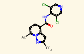 CC(=O)c1ccc(C(=O)Nc2c(Cl)cncc2Cl)c2cc(C(F)(F)F)nn12